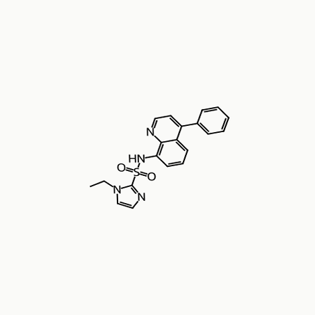 CCn1ccnc1S(=O)(=O)Nc1cccc2c(-c3ccccc3)ccnc12